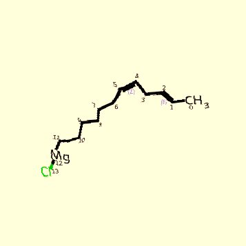 C/C=C/C/C=C\CCCCC[CH2][Mg][Cl]